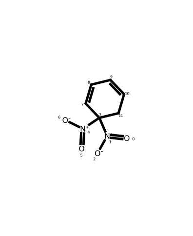 O=[N+]([O-])C1([N+](=O)[O-])C=CC=CC1